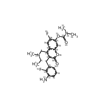 CCN(C)Cc1c(Cc2cccc(N)c2F)c(=O)oc2cc(OC(=O)N(C)C)c(F)cc12